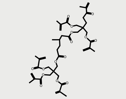 C=C(C)C(=O)CCC(COC(=O)CC(C)CCC(=O)OCC(COC(=O)C(=C)C)(COC(=O)C(=C)C)COC(=O)C(=C)C)(COC(=O)C(=C)C)COC(=O)C(=C)C